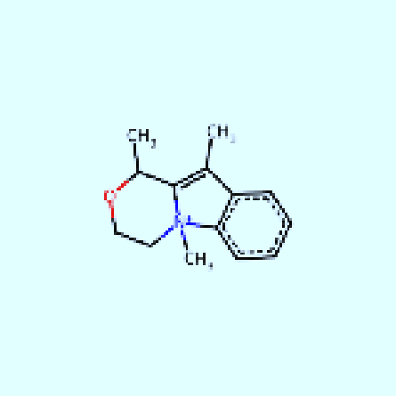 CC1=C2C(C)OCC[N+]2(C)c2ccccc21